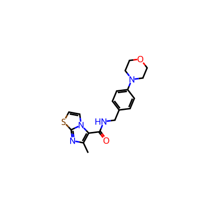 Cc1nc2sccn2c1C(=O)NCc1ccc(N2CCOCC2)cc1